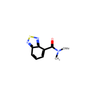 CON(C)C(=O)c1cccc2nsnc12